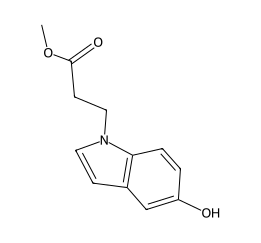 COC(=O)CCn1ccc2cc(O)ccc21